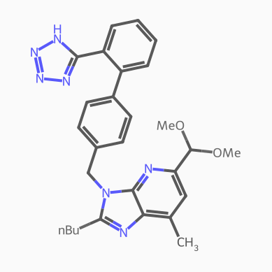 CCCCc1nc2c(C)cc(C(OC)OC)nc2n1Cc1ccc(-c2ccccc2-c2nnn[nH]2)cc1